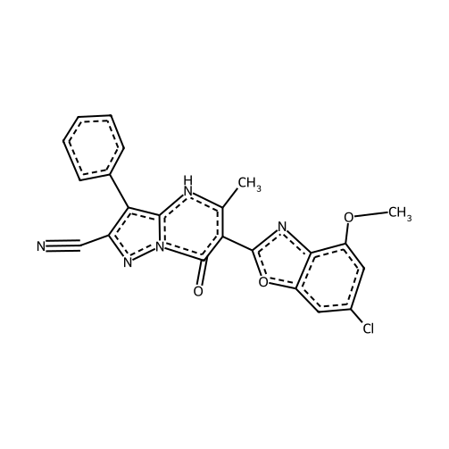 COc1cc(Cl)cc2oc(-c3c(C)[nH]c4c(-c5ccccc5)c(C#N)nn4c3=O)nc12